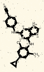 Cc1cc(C2CC2)cc(Cl)c1Nc1nc(Nc2ccc(C#N)cc2)nc2[nH]cnc12